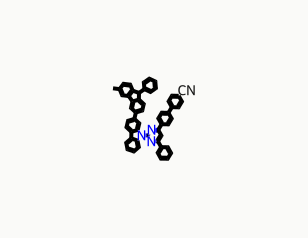 Cc1ccc2c(c1)-c1cc(-c3ccc4c5ccccc5n(-c5nc(-c6ccccc6)cc(-c6ccc(-c7ccc(C#N)cc7)cc6)n5)c4c3)ccc1C2c1ccccc1